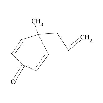 C=CCC1(C)C=CC(=O)C=C1